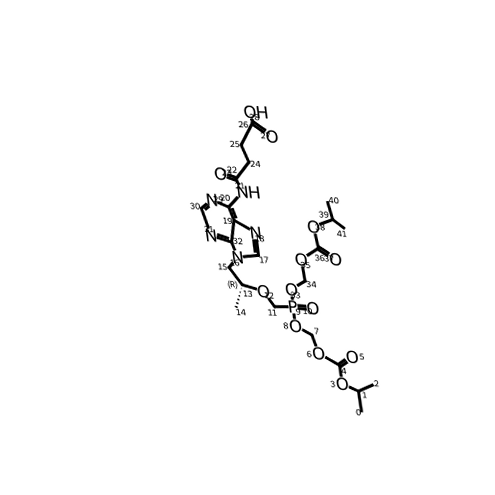 CC(C)OC(=O)OCOP(=O)(CO[C@H](C)Cn1cnc2c(NC(=O)CCC(=O)O)ncnc21)OCOC(=O)OC(C)C